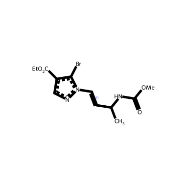 CCOC(=O)c1cnn(/C=C/C(C)NC(=O)OC)c1Br